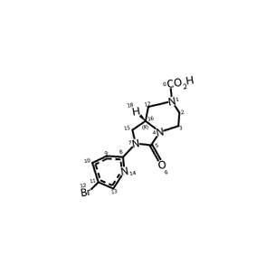 O=C(O)N1CCN2C(=O)N(c3ccc(Br)cn3)C[C@@H]2C1